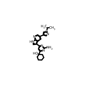 CC(C)n1cc(-c2cnc3[nH]cc(-c4cc(C5(O)CCCCC5)nc(N)n4)c3c2)cn1